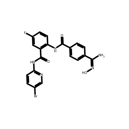 N/C(=N/O)c1ccc(C(=O)Nc2ccc(F)cc2C(=O)Nc2ccc(Br)cn2)cc1